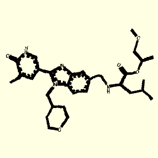 COCC(C)OC(=O)C(CC(C)C)NCc1ccc2c(c1)nc(-c1c[nH]c(=O)c(C)c1)n2CC1CCOCC1